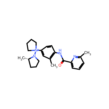 Cc1cccc(C(=O)Nc2ccc([N+]3(N4CCC[C@@H]4C)CCCC3)cc2C)n1